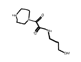 O=C(NCCCO)C(=O)N1CCNCC1